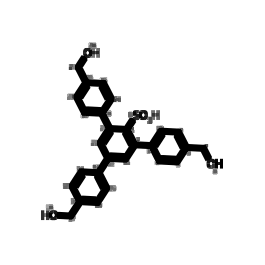 O=S(=O)(O)c1c(-c2ccc(CO)cc2)cc(-c2ccc(CO)cc2)cc1-c1ccc(CO)cc1